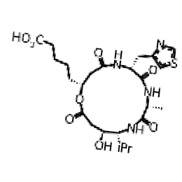 CC(C)[C@H]1NC(=O)[C@@H](C)NC(=O)[C@@H](Cc2cscn2)NC(=O)C[C@@H](CCCCC(=O)O)OC(=O)C[C@@H]1O